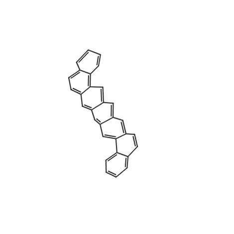 c1ccc2c(c1)ccc1cc3cc4cc5c(ccc6ccccc65)cc4cc3cc12